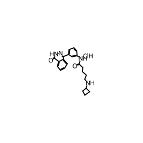 Cl.O=C(CCCCNC1CCC1)Nc1cccc(-c2n[nH]c(=O)c3ccccc23)c1